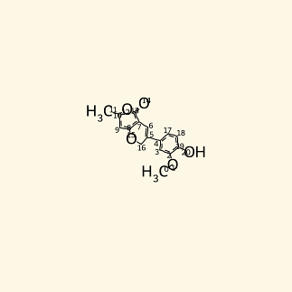 COc1cc(C2=Cc3c(cc(C)oc3=O)OC2)ccc1O